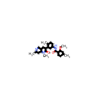 COc1cc(C)ccc1C(=O)Nc1ccc(C)c(-c2cc3cnc(C)cc3n(C)c2=O)c1